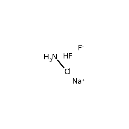 F.NCl.[F-].[Na+]